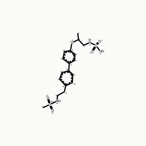 CCCS(=O)(=O)NCC(C)Oc1ccc(-c2ccc(CCNS(C)(=O)=O)cc2)cc1